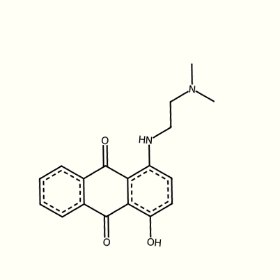 CN(C)CCNc1ccc(O)c2c1C(=O)c1ccccc1C2=O